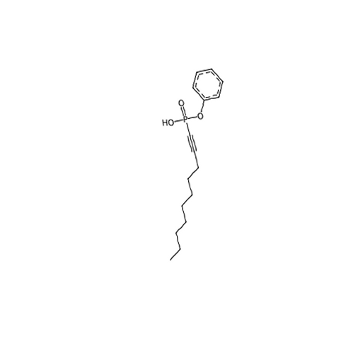 CCCCCCCCC#CP(=O)(O)Oc1ccccc1